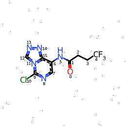 O=C(CCC(F)(F)F)Nc1cnc(Cl)n2cnnc12